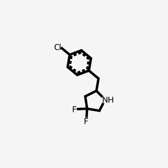 FC1(F)CNC(Cc2ccc(Cl)cc2)C1